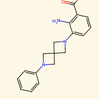 Nc1c(C(=O)O)cccc1N1CC2(CN(c3ccccc3)C2)C1